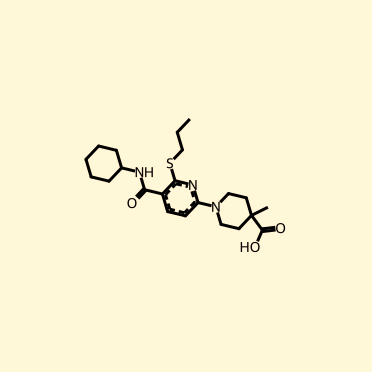 CCCSc1nc(N2CCC(C)(C(=O)O)CC2)ccc1C(=O)NC1CCCCC1